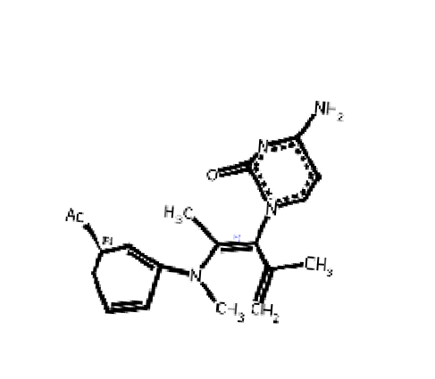 C=C(C)/C(=C(/C)N(C)C1=C[C@H](C(C)=O)CC=C1)n1ccc(N)nc1=O